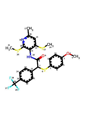 COc1ccc(SC(C(=O)Nc2c(SC)cc(C)nc2SC)c2ccc(C(F)(F)F)cc2)cc1